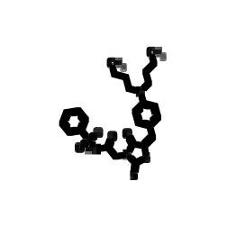 CCCCN(CCCC)c1ccc(C=C2SC(=S)N(CC(=O)NS(=O)(=O)c3ccccc3)C2=O)cc1